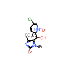 CCOC(=O)c1nc(Br)n(C(C)C)c1C(O)C1C=CC(Cl)=C[NH+]1[O-]